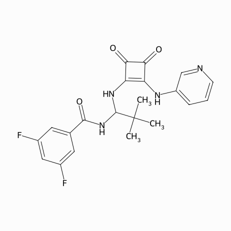 CC(C)(C)C(NC(=O)c1cc(F)cc(F)c1)Nc1c(Nc2cccnc2)c(=O)c1=O